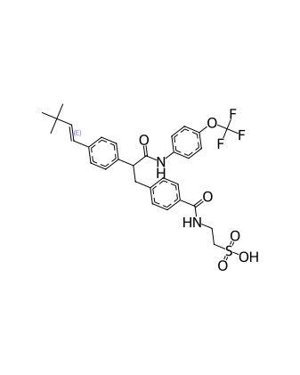 CC(C)(C)/C=C/c1ccc(C(Cc2ccc(C(=O)NCCS(=O)(=O)O)cc2)C(=O)Nc2ccc(OC(F)(F)F)cc2)cc1